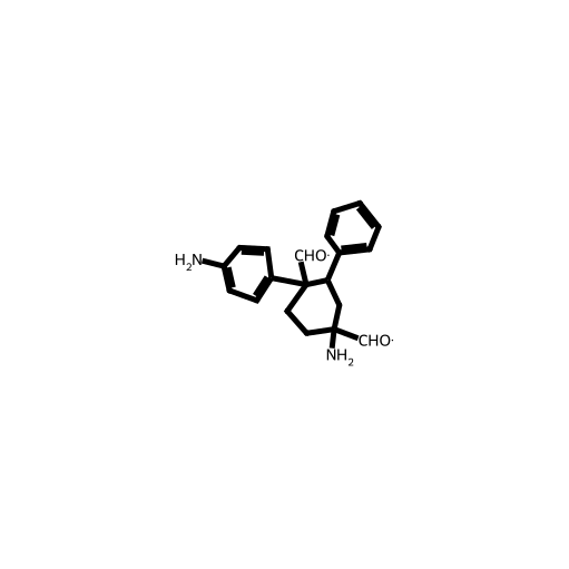 Nc1ccc(C2([C]=O)CCC(N)([C]=O)CC2c2ccccc2)cc1